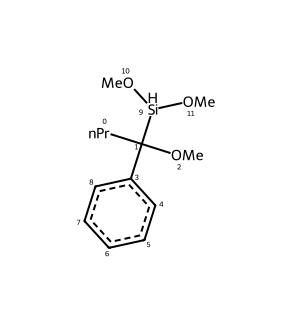 CCCC(OC)(c1ccccc1)[SiH](OC)OC